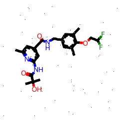 Cc1cc(C(=O)NCc2cc(C)c(OCC(F)F)c(C)c2)cc(NC(=O)C(C)(C)O)n1